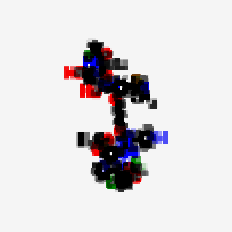 Cc1ncsc1-c1ccc(CNC(O)[C@@H]2C[C@@H](O)CN2C(=O)[C@@H](NC(=O)C2(F)CC2)C(C)(C)C)c(OCCCCCOc2nc(Nc3cc(S(C)(=O)=O)ccc3N[C@@H](c3cccc4c3OC(F)(F)O4)c3ncccc3Cl)nc(C3CCNCC3)n2)c1